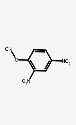 O=NOc1ccc([N+](=O)[O-])cc1[N+](=O)[O-]